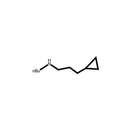 [CH2]CCCNCCCC1CC1